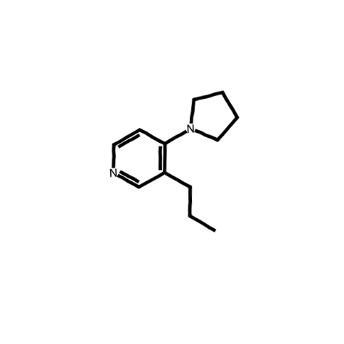 CCCc1cnccc1N1CCCC1